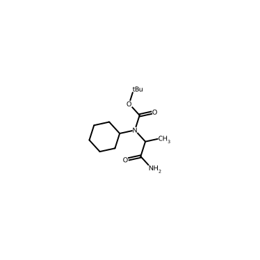 CC(C(N)=O)N(C(=O)OC(C)(C)C)C1CCCCC1